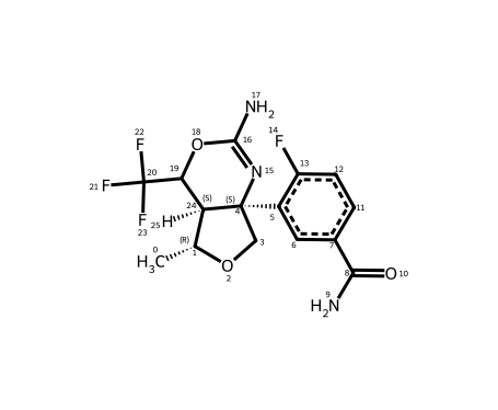 C[C@H]1OC[C@]2(c3cc(C(N)=O)ccc3F)N=C(N)OC(C(F)(F)F)[C@H]12